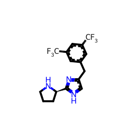 FC(F)(F)c1cc(Cc2c[nH]c([C@H]3CCCN3)n2)cc(C(F)(F)F)c1